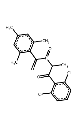 Cc1cc(C)c(C(=O)[P](=O)C(C)C(=O)c2c(Cl)cccc2Cl)c(C)c1